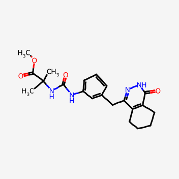 COC(=O)C(C)(C)NC(=O)Nc1cccc(Cc2n[nH]c(=O)c3c2CCCC3)c1